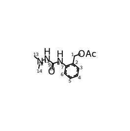 CC(=O)OCc1ccccc1NC(=O)NN(C)C